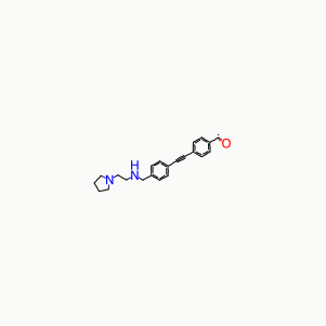 O=[C]c1ccc(C#Cc2ccc(CNCCN3CCCC3)cc2)cc1